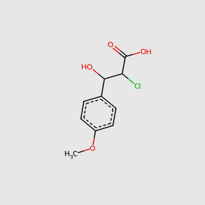 COc1ccc(C(O)C(Cl)C(=O)O)cc1